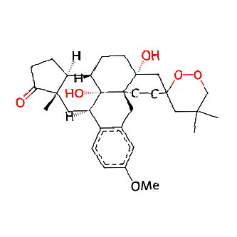 COc1ccc2c(c1)C[C@]13CCC4(CC(C)(C)COO4)C[C@]1(O)CC[C@H]1[C@@H]4CCC(=O)[C@@]4(C)C[C@H]2[C@@]13O